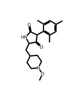 CON1CCC(CC2NC(=O)C(c3c(C)cc(C)cc3C)C2=O)CC1